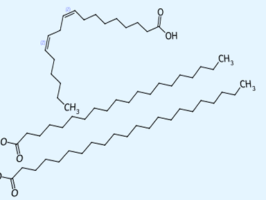 CCCCC/C=C\C/C=C\CCCCCCCC(=O)O.CCCCCCCCCCCCCCCCCCCC(=O)O.CCCCCCCCCCCCCCCCCCCCCC(=O)O